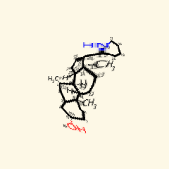 C[C@H]1CC2C[C@@H](O)CC[C@]2(C)[C@H]2CC[C@]3(C)C(C4CCCCN4)=CC[C@H]3[C@H]12